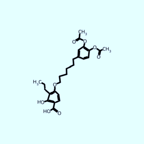 CCCc1c(OCCCCCCc2ccc(OC(C)=O)c(OC(C)=O)c2)ccc(C(=O)O)c1O